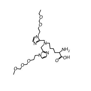 CCOCOCCn1ccnc1CN(CCCCC(N)C(=O)O)Cc1nccn1CCOCOCOC